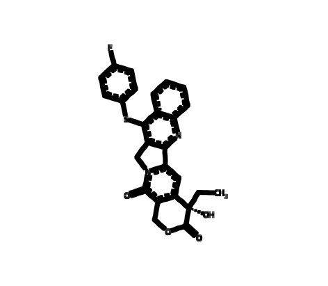 CC[C@@]1(O)C(=O)OCc2c1cc1n(c2=O)Cc2c-1nc1ccccc1c2Sc1ccc(F)cc1